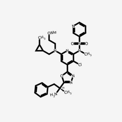 COCCN(CC1CC1C)c1cc(-c2nnc([C@](C)(N)Cc3ccccc3)o2)c(Cl)c(N(C)S(=O)(=O)c2cccnc2)n1